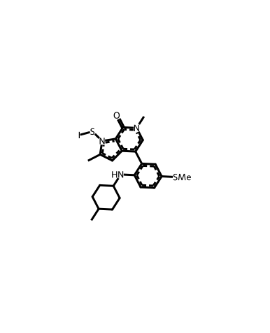 CSc1ccc(NC2CCC(C)CC2)c(-c2cn(C)c(=O)c3c2cc(C)n3SI)c1